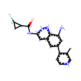 Cc1cnccc1-c1cc(N)c2nnc(NC(=O)C3CC3F)cc2c1